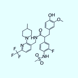 COc1cc(CC(C(=O)NCc2ccc(C(F)(F)F)nc2N2CCC(C)CC2)c2ccc(NS(C)(=O)=O)c(F)c2)ccc1O